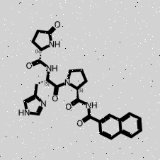 O=C1CC[C@@H](C(=O)N[C@@H](Cc2c[nH]cn2)C(=O)N2CCC[C@H]2C(=O)NC(=O)c2ccc3ccccc3c2)N1